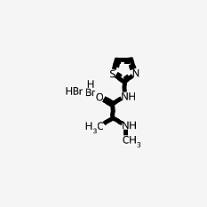 Br.Br.CNC(C)C(=O)Nc1nccs1